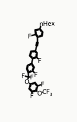 CCCCCCc1ccc(C#Cc2ccc(-c3ccc(C(F)(F)Oc4cc(F)c(OC(F)(F)F)c(F)c4)c(F)c3)c(F)c2)c(F)c1